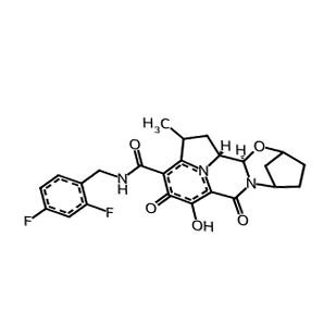 CC1C[C@@H]2[C@H]3OC4CCC(C4)N3C(=O)c3c(O)c(=O)c(C(=O)NCc4ccc(F)cc4F)c1n32